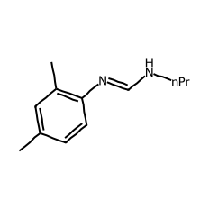 CCCNC=Nc1ccc(C)cc1C